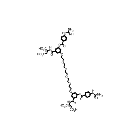 N=C(N)Nc1ccc(C(=O)Oc2cc(OCCOCCOCCOCCOCCOc3cc(OC(=O)c4ccc(NC(=N)N)cc4)cc(C(=O)N[C@@H](CC(=O)O)C(=O)O)c3)cc(C(=O)N[C@@H](CC(=O)O)C(=O)O)c2)cc1